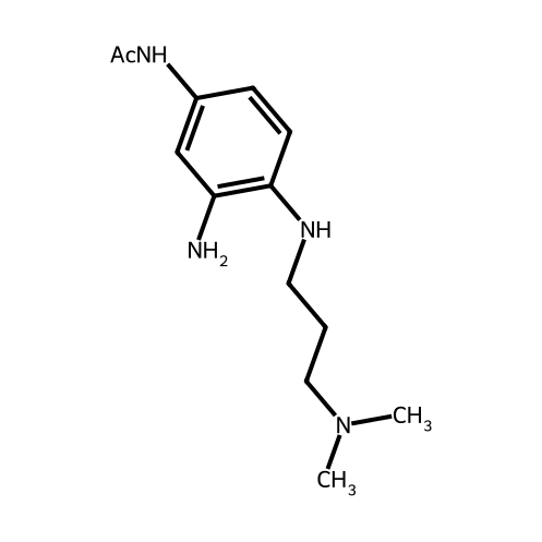 CC(=O)Nc1ccc(NCCCN(C)C)c(N)c1